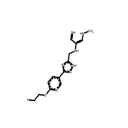 CN/C=C(\C=N)NCc1nc(-c2ccc(OCCF)nc2)n[nH]1